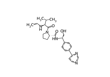 C=CN[C@H](C(=O)N1CCC[C@H]1C(=O)N[C@@H](CO)c1ccc(-c2ccncn2)cc1)C(C)C